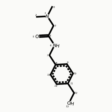 CN(C)CC(=O)NCc1ccc(CO)cc1